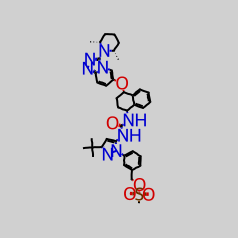 C[C@@H]1CCC[C@H](C)N1c1nnc2ccc(O[C@@H]3CC[C@H](NC(=O)Nc4cc(C(C)(C)C)nn4-c4cccc(COS(C)(=O)=O)c4)c4ccccc43)cn12